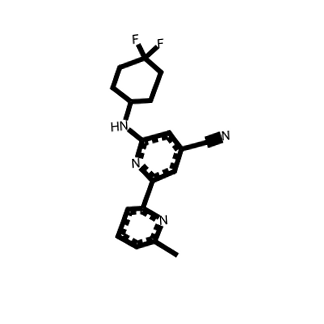 Cc1cccc(-c2cc(C#N)cc(NC3CCC(F)(F)CC3)n2)n1